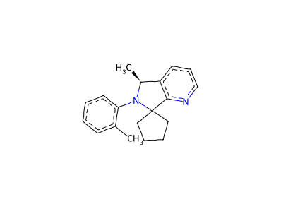 Cc1ccccc1N1[C@@H](C)c2cccnc2C12CCCC2